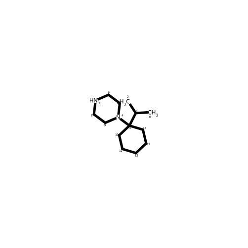 CC(C)C1(N2CCNCC2)CCCCC1